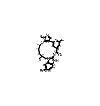 Cc1cc2cc(n1)-c1cnn(C)c1OCCCC(C)CN1/C(=N/C2=O)Nc2ccc(Br)cc21